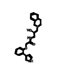 O=C(COc1ccccc1-c1cc[nH]n1)NC[C@@H](O)CN1CCc2ccccc2C1